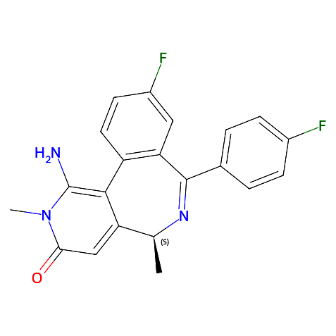 C[C@@H]1N=C(c2ccc(F)cc2)c2cc(F)ccc2-c2c1cc(=O)n(C)c2N